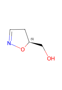 OC[C@@H]1CC=NO1